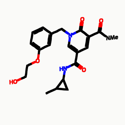 CNC(=O)c1cc(C(=O)NC2CC2C)cn(Cc2cccc(OCCO)c2)c1=O